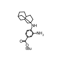 CC(C)(C)OC(=O)c1ccc(NC23CCC4CCC(CC4C2)C3)c(N)c1